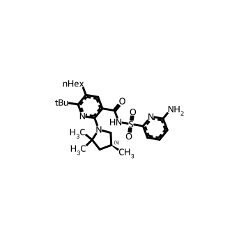 CCCCCCc1cc(C(=O)NS(=O)(=O)c2cccc(N)n2)c(N2C[C@@H](C)CC2(C)C)nc1C(C)(C)C